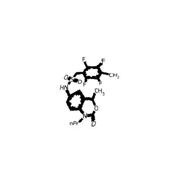 CCCN1C(=O)OC(C)c2cc(NS(=O)(=O)Cc3c(F)c(F)c(C)c(F)c3F)ccc21